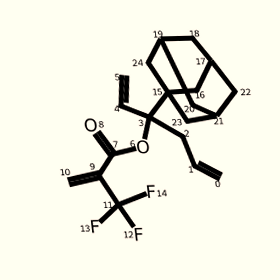 C=CCC(C=C)(OC(=O)C(=C)C(F)(F)F)C12CC3CC(CC(C3)C1)C2